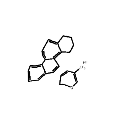 F.FC(F)(F)C1=COCC=C1.c1ccc2c(c1)ccc1c3c(ccc12)CCCC3